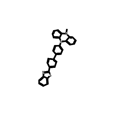 CN1c2ccccc2N(c2ccc(-c3ccc(-c4nc5ccccc5s4)cc3)cc2)c2ccccc21